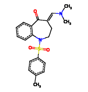 Cc1ccc(S(=O)(=O)N2CC/C(=C\N(C)C)C(=O)c3ccccc32)cc1